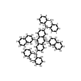 c1ccc2c(c1)Sc1ccccc1N2c1ccc2c(-c3ccc4ccccc4c3)c3cc(N4c5ccccc5Sc5ccccc54)ccc3c(-c3ccc4ccccc4c3)c2c1